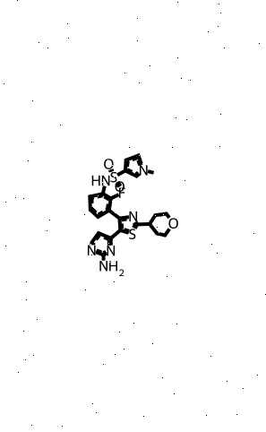 Cn1ccc(S(=O)(=O)Nc2cccc(-c3nc(C4CCOCC4)sc3-c3ccnc(N)n3)c2F)c1